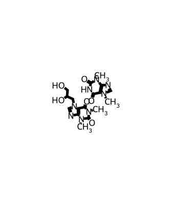 Cn1c(=O)c2c(ncn2CC(O)CO)n(C)c1=O.Cn1cnc2c1c(=O)[nH]c(=O)n2C